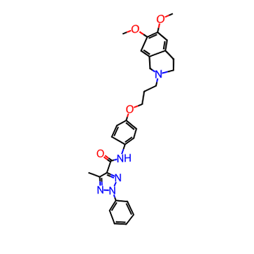 COc1cc2c(cc1OC)CN(CCCOc1ccc(NC(=O)c3nn(-c4ccccc4)nc3C)cc1)CC2